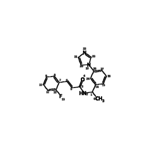 CC(NC(=O)C=Cc1ccccc1F)c1cccc(-n2ccnc2)c1